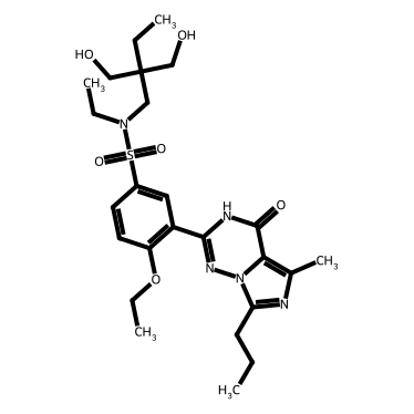 CCCc1nc(C)c2c(=O)[nH]c(-c3cc(S(=O)(=O)N(CC)CC(CC)(CO)CO)ccc3OCC)nn12